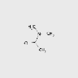 C[C@H]([O])N(C)C